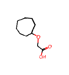 O=C(O)COC1CCCCCCC1